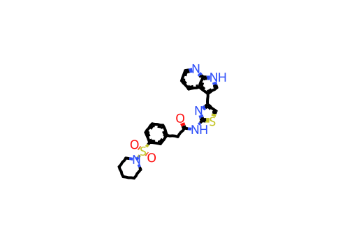 O=C(Cc1cccc(S(=O)(=O)N2CCCCC2)c1)Nc1nc(-c2c[nH]c3ncccc23)cs1